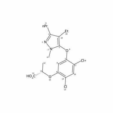 CCCc1nn(C)c(Oc2cc(O[C@@H](C)C(=O)O)c(Cl)cc2Cl)c1CC